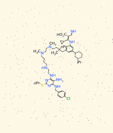 CCCSc1nc(NCCNCCCCN(C)CCN(C)CCC(C)(CCC)Cc2cc(N/C(=C(\C=N)C(=O)O)C3CC3)cc(C3CCCC(C(C)C)C3)c2)c(N)c(NCc2ccc(Cl)cc2)n1